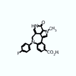 Cn1cc2c3c(c[nH]c(=O)c31)CN(c1ccc(F)cc1)c1ccc(C(=O)O)cc1-2